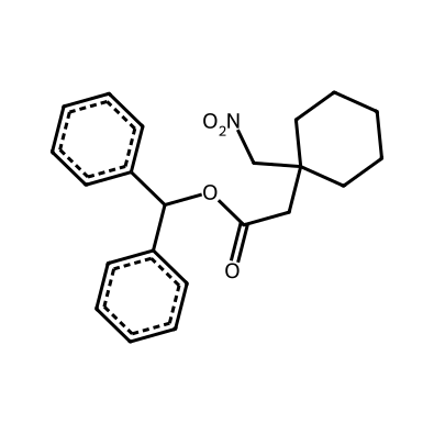 O=C(CC1(C[N+](=O)[O-])CCCCC1)OC(c1ccccc1)c1ccccc1